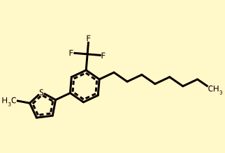 CCCCCCCCc1ccc(-c2ccc(C)s2)cc1C(F)(F)F